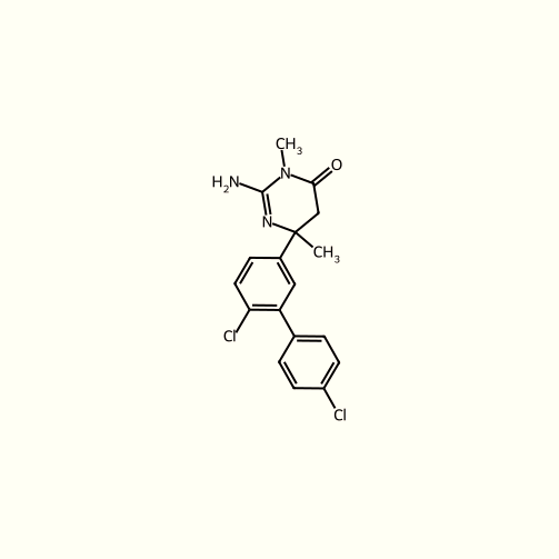 CN1C(=O)CC(C)(c2ccc(Cl)c(-c3ccc(Cl)cc3)c2)N=C1N